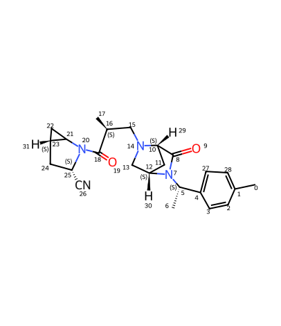 Cc1ccc([C@H](C)N2C(=O)[C@@H]3C[C@H]2CN3C[C@H](C)C(=O)N2C3C[C@H]3C[C@H]2C#N)cc1